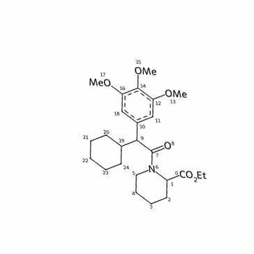 CCOC(=O)C1CCCCN1C(=O)C(c1cc(OC)c(OC)c(OC)c1)C1CCCCC1